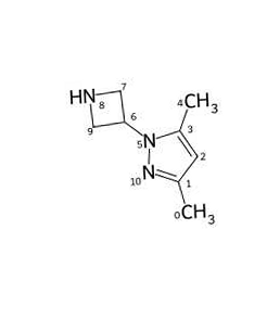 Cc1cc(C)n(C2CNC2)n1